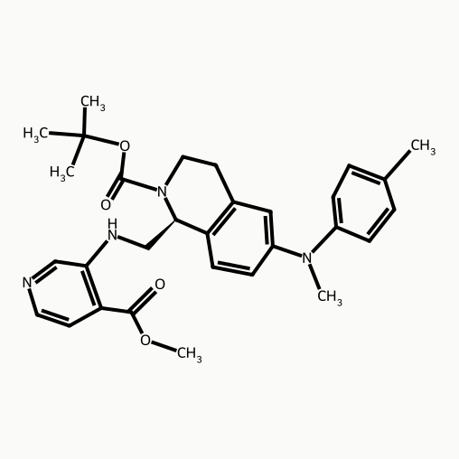 COC(=O)c1ccncc1NC[C@@H]1c2ccc(N(C)c3ccc(C)cc3)cc2CCN1C(=O)OC(C)(C)C